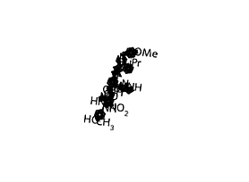 COc1ccc(CN2CCN(C3CC4(C3)CN(c3ccc(C(=O)NS(=O)(=O)c5cc([N+](=O)[O-])c(NC[C@H]6CC[C@](C)(O)CC6)c6[nH]cnc56)c(Oc5cnc6[nH]ccc6c5)c3)C4)C(c3ccccc3C(C)C)C2)cc1